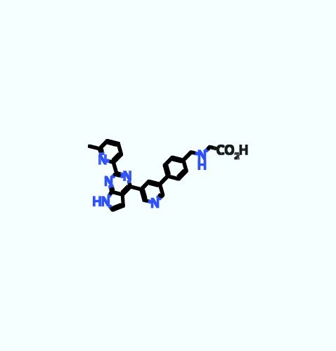 Cc1cccc(-c2nc(-c3cncc(-c4ccc(CNCC(=O)O)cc4)c3)c3cc[nH]c3n2)n1